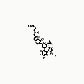 COCCNCc1cc2ncn(-c3cc(-c4ccc(F)cc4-c4ncnn4C)cc(C4CC4)n3)c(=O)c2[nH]1